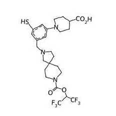 O=C(O)C1CCN(c2cc(S)cc(CN3CCC4(CCN(C(=O)OC(C(F)(F)F)C(F)(F)F)CC4)C3)c2)CC1